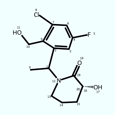 CC(c1cc(F)cc(Cl)c1CO)N1CCC[C@@H](O)C1=O